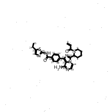 C=CC(=O)N1CCCCC1c1nc(-c2ccc(C(=O)Nc3ncc(CC)s3)cc2)c2c(N)nccn12